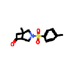 Cc1ccc(S(=O)(=O)N2CC3C(=O)CC3(C)C2)cc1